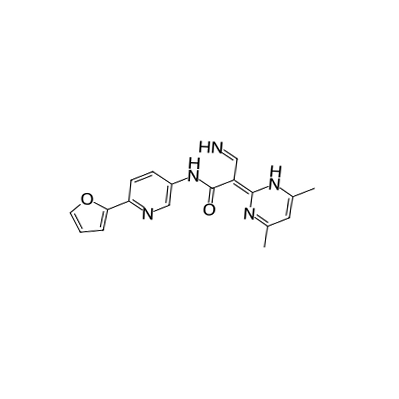 CC1=CC(C)=N/C(=C(/C=N)C(=O)Nc2ccc(-c3ccco3)nc2)N1